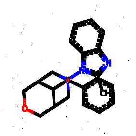 Cc1nc2ccccc2n1N1CC2COCC(C1)C2Cc1ccccc1